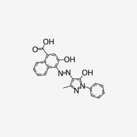 Cc1nn(-c2ccccc2)c(O)c1/N=N/c1c(O)cc(C(=O)O)c2ccccc12